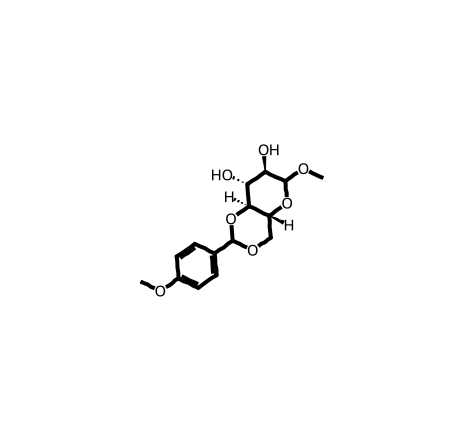 COc1ccc(C2OC[C@H]3OC(OC)[C@H](O)[C@@H](O)[C@@H]3O2)cc1